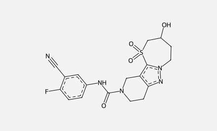 N#Cc1cc(NC(=O)N2CCc3nn4c(c3C2)S(=O)(=O)CC(O)CC4)ccc1F